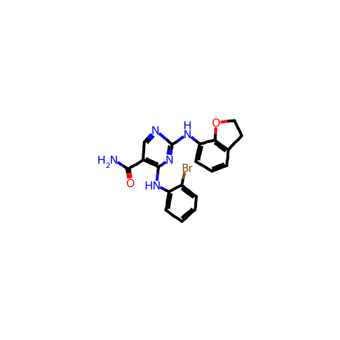 NC(=O)c1cnc(Nc2cccc3c2OCC3)nc1Nc1ccccc1Br